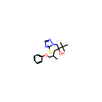 CC(COc1ccccc1)CC(O)(Cn1ncnc1S)C(C)(C)C